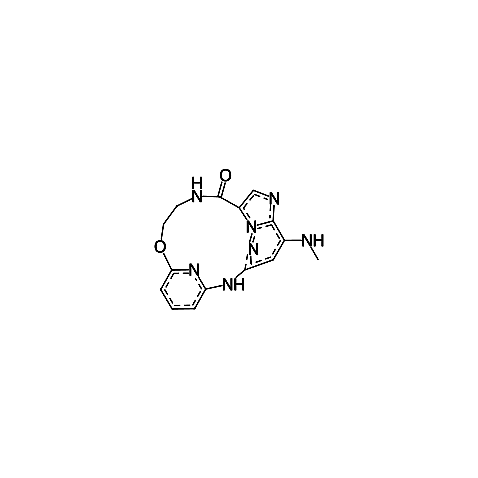 CNc1cc2nn3c(cnc13)C(=O)NCCOc1cccc(n1)N2